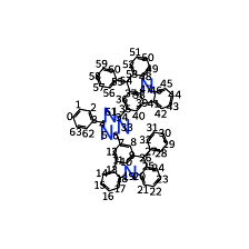 c1ccc(-c2nc(-c3cc4c5c(c3)c3ccccc3n5-c3ccccc3C4c3ccccc3)nc(-c3cc4c5c(c3)c3ccccc3n5-c3ccccc3C4c3ccccc3)n2)cc1